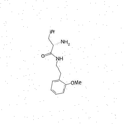 COc1ccccc1CCNC(=O)[C@@H](N)CC(C)C